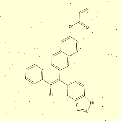 C=CC(=O)Oc1ccc2cc(/C(=C(/CC)c3ccccc3)c3ccc4[nH]ncc4c3)ccc2c1